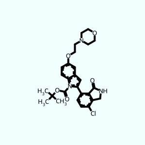 CC(C)(C)OC(=O)n1c(-c2ccc(Cl)c3c2C(=O)NC3)cc2cc(OCCN3CCOCC3)ccc21